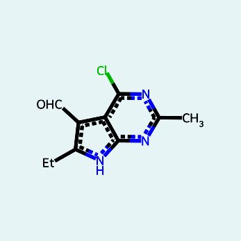 CCc1[nH]c2nc(C)nc(Cl)c2c1C=O